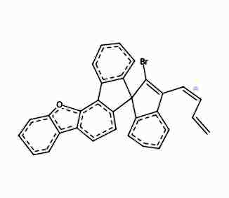 C=C/C=C\C1=C(Br)C2(c3ccccc31)c1ccccc1-c1c2ccc2c1oc1ccccc12